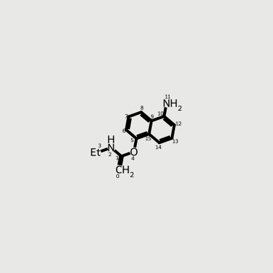 C=C(NCC)Oc1cccc2c(N)cccc12